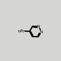 CCCc1[c]nncc1